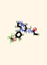 C=CC(=O)NC[C@@H]1CN(c2ccc(OC(F)(F)F)c(F)c2)c2ccnn2C1